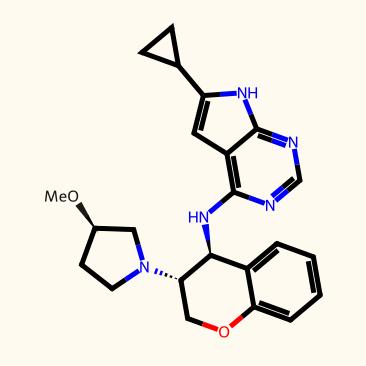 CO[C@@H]1CCN([C@H]2COc3ccccc3[C@@H]2Nc2ncnc3[nH]c(C4CC4)cc23)C1